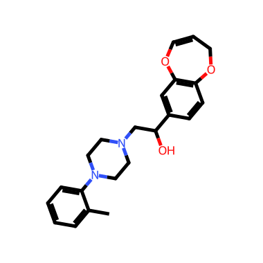 Cc1ccccc1N1CCN(CC(O)c2ccc3c(c2)OC=CCO3)CC1